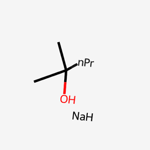 CCCC(C)(C)O.[NaH]